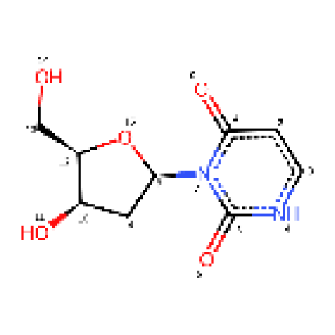 O=c1cc[nH]c(=O)n1[C@H]1C[C@@H](O)[C@@H](CO)O1